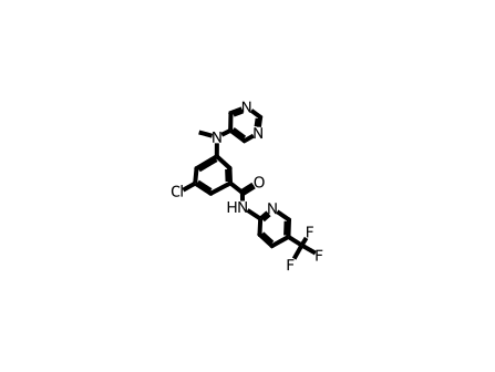 CN(c1cncnc1)c1cc(Cl)cc(C(=O)Nc2ccc(C(F)(F)F)cn2)c1